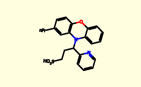 CCCc1ccc2c(c1)N(C(CCS(=O)(=O)O)c1ccccn1)c1ccccc1O2